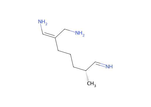 C[C@@H](C=N)CCC/C(=C/N)CN